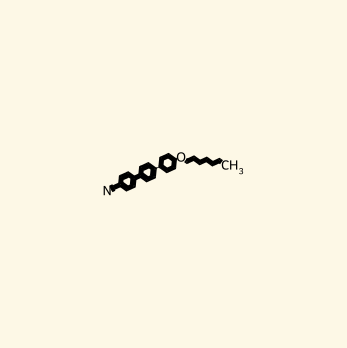 CCCCCCCO[C@H]1CC[C@H](c2ccc(-c3ccc(C#N)cc3)cc2)CC1